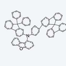 c1ccc(C2(c3ccccc3)c3ccccc3-c3ccc(N(c4ccc(-c5ccc6c(c5)C5(c7ccccc7-c7ccccc75)c5ccccc5-6)cc4)c4cccc5oc6ccccc6c45)cc32)cc1